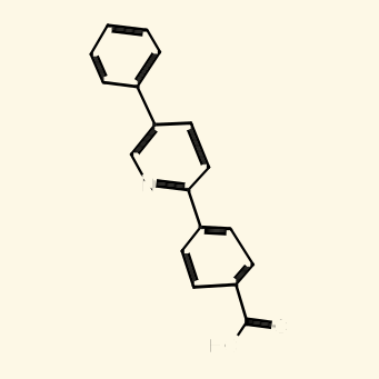 O=C(O)c1ccc(-c2ccc(-c3ccccc3)cn2)cc1